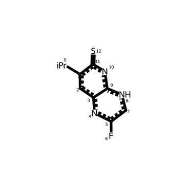 CC(C)c1cc2nc(F)c[nH]c-2nc1=S